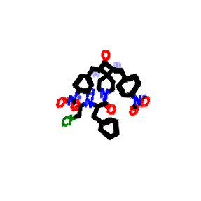 O=C(CCl)NC(Cc1ccccc1)C(=O)N1CCC2(CC1)/C(=C\c1ccc([N+](=O)[O-])cc1)C(=O)/C2=C/c1ccc([N+](=O)[O-])cc1